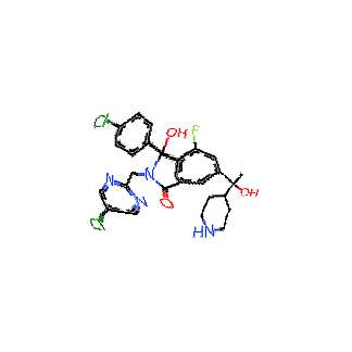 CC(O)(c1cc(F)c2c(c1)C(=O)N(Cc1ncc(Cl)cn1)C2(O)c1ccc(Cl)cc1)C1CCNCC1